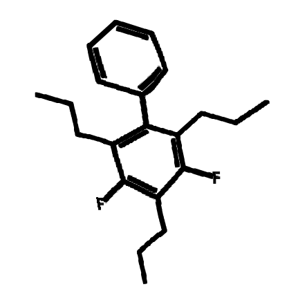 CCCc1c(F)c(CCC)c(-c2ccccc2)c(CCC)c1F